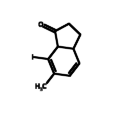 CC1=C(I)C2C(=O)CCC2C=C1